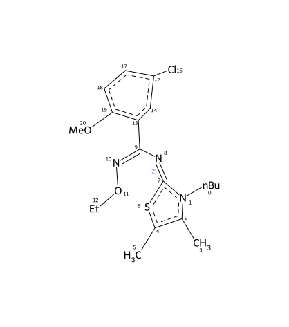 CCCCn1c(C)c(C)s/c1=N\C(=NOCC)c1cc(Cl)ccc1OC